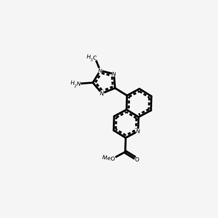 COC(=O)c1ccc2c(-c3nc(N)n(C)n3)cccc2n1